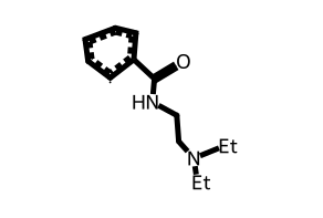 CCN(CC)CCNC(=O)c1[c]cccc1